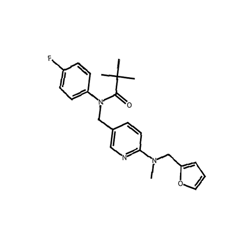 CN(Cc1ccco1)c1ccc(CN(C(=O)C(C)(C)C)c2ccc(F)cc2)cn1